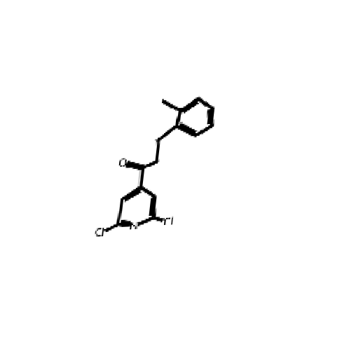 Cc1ccccc1[CH]CC(=O)c1cc(Cl)nc(Cl)c1